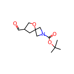 CC(C)(C)OC(=O)N1CC2(CC(C=O)CO2)C1